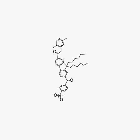 CCCCCCC1(CCCCCC)c2cc(C(=O)Cc3cc(C)ccc3C)ccc2-c2ccc(C(=O)c3ccc([N+](=O)[O-])cc3)cc21